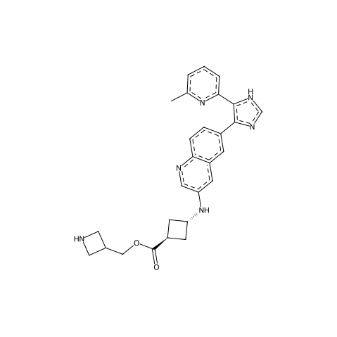 Cc1cccc(-c2[nH]cnc2-c2ccc3ncc(N[C@H]4C[C@H](C(=O)OCC5CNC5)C4)cc3c2)n1